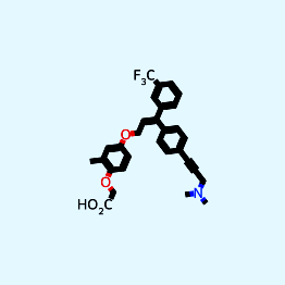 Cc1cc(OC/C=C(\c2ccc(C#CCN(C)C)cc2)c2cccc(C(F)(F)F)c2)ccc1OCC(=O)O